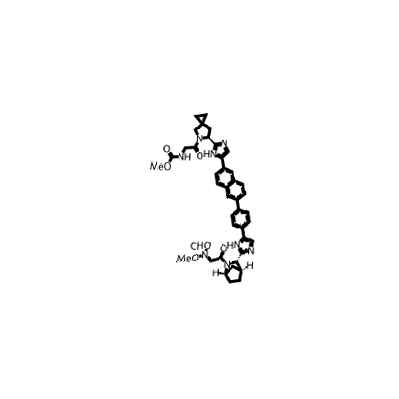 COC(=O)NCC(=O)N1CC2(CC2)C[C@H]1c1ncc(-c2ccc3cc(-c4ccc(-c5cnc([C@@H]6[C@H]7CC[C@@H](C7)N6C(=O)CN(C=O)OC)[nH]5)cc4)ccc3c2)[nH]1